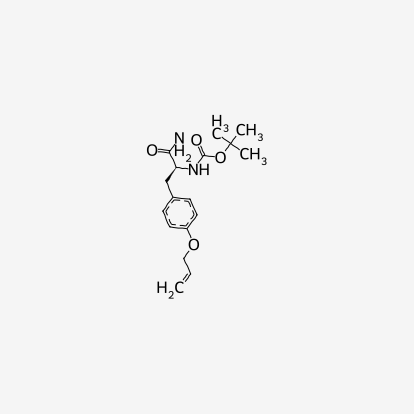 C=CCOc1ccc(C[C@H](NC(=O)OC(C)(C)C)C(N)=O)cc1